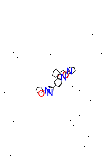 O=C(CC1CCCCC1)N1C2CCC1C(Cn1ccc3cc(-c4cnn(C5CCCCO5)c4)ccc31)C2